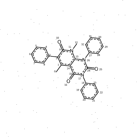 Cc1c(-c2ccccc2)c(=O)n(C)c2c1c(=O)n(-c1ccccc1)c(=O)n2-c1ccccc1